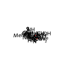 CNC(=O)[C@H](CCN)NC(=O)[C@H](Cc1c[nH]c2ccccc12)NC(=O)[C@@H]1C[C@@H](O)CN1C(=O)[C@H](CC(C)C)NC(=O)[C@H](CCNc1nccc(OC)n1)NC(=O)[C@@H]1CCCN1C(=O)[C@H](CC(N)=O)NC(=O)[C@H](C)N(C)C(=O)[C@@H](C)Cc1ccc(O)cc1